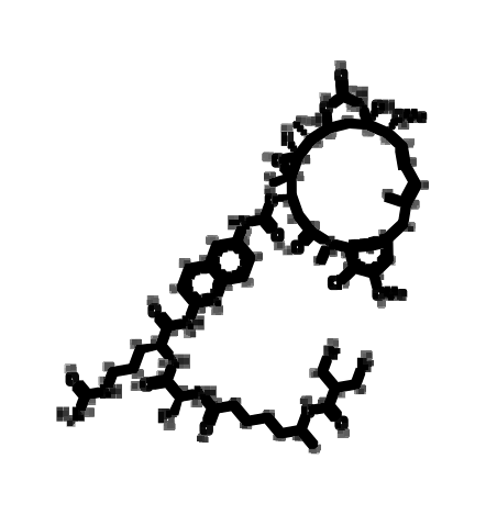 COc1cc2cc(c1Cl)N(C)C(=O)C[C@H](OC(=O)Nc1ccc3nc(NC(=O)[C@H](CCCNC(N)=O)NC(=O)[C@@H](NC(=O)CCCCC(C)OC(=O)C(CBr)CBr)C(C)C)ccc3c1)[C@]1(C)O[C@H]1[C@H](C)[C@@H]1C[C@@](O)(NC(=O)O1)[C@H](OC)/C=C/C=C(\C)C2